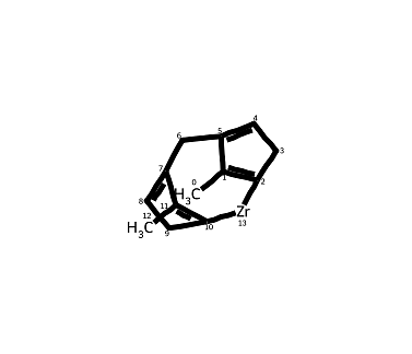 CC1=[C]2CC=C1CC1=CC[C](=C1C)[Zr]2